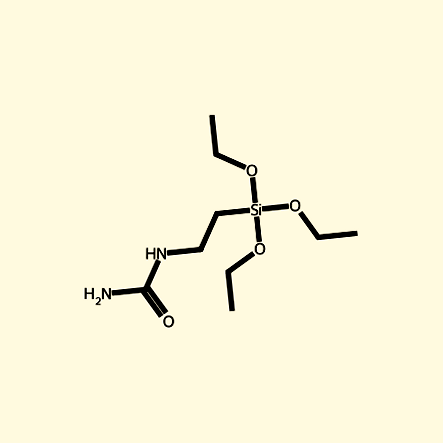 CCO[Si](CCNC(N)=O)(OCC)OCC